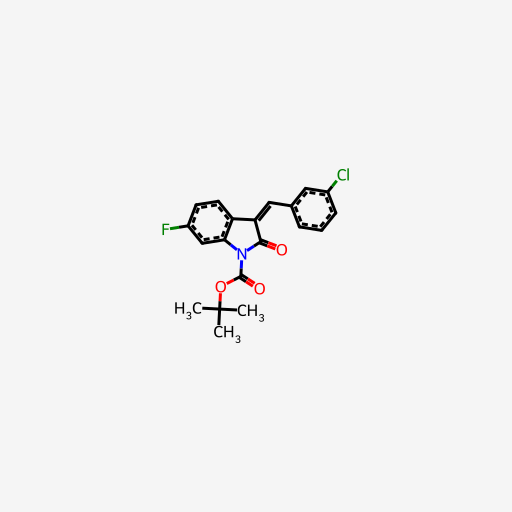 CC(C)(C)OC(=O)N1C(=O)C(=Cc2cccc(Cl)c2)c2ccc(F)cc21